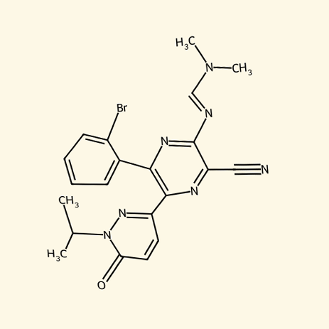 CC(C)n1nc(-c2nc(C#N)c(N=CN(C)C)nc2-c2ccccc2Br)ccc1=O